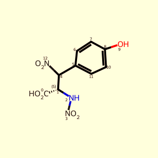 O=C(O)[C@@H](N[N+](=O)[O-])C(c1ccc(O)cc1)[N+](=O)[O-]